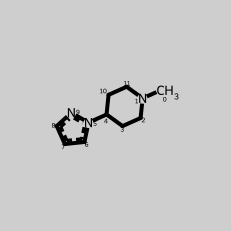 CN1CCC(n2cccn2)CC1